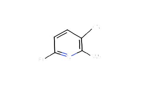 CCc1ccc(C#N)c(SC)n1